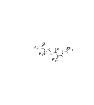 CCCCC(C)C(=O)CCC(N)C(C)=O